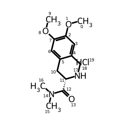 COc1cc2c(cc1OC)C[C@@H](C(=O)N(C)C)NC2.Cl